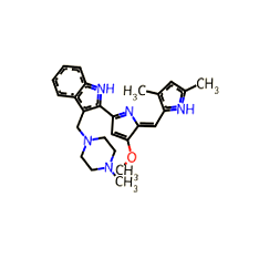 COC1=CC(c2[nH]c3ccccc3c2CN2CCN(C)CC2)=N/C1=C\c1[nH]c(C)cc1C